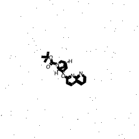 CC(C)(C)OC(=O)N1C[C@H]2C[C@@H](Oc3ccc4cccnc4n3)[C@@H]1C2